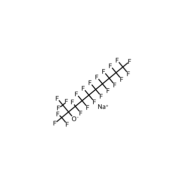 [Na+].[O-]C(C(F)(F)F)(C(F)(F)F)C(F)(F)C(F)(F)C(F)(F)C(F)(F)C(F)(F)C(F)(F)C(F)(F)C(F)(F)F